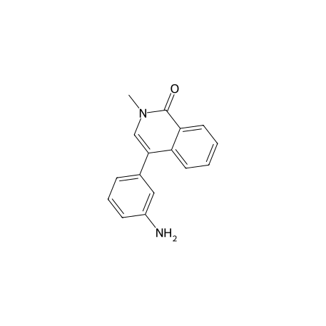 Cn1cc(-c2cccc(N)c2)c2ccccc2c1=O